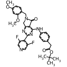 COc1ccc(CN2Cc3nc(-c4c(F)cncc4F)nc(Nc4ccc(CC(=O)OC(C)(C)C)cc4)c3C2=O)c(OC)c1